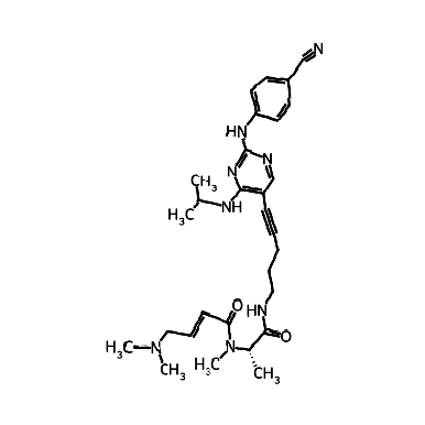 CC(C)Nc1nc(Nc2ccc(C#N)cc2)ncc1C#CCCCNC(=O)[C@H](C)N(C)C(=O)/C=C/CN(C)C